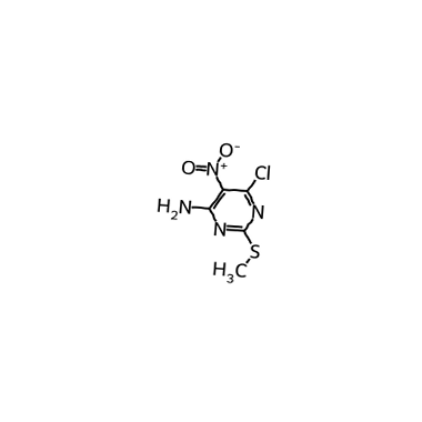 CSc1nc(N)c([N+](=O)[O-])c(Cl)n1